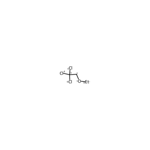 C[CH]OCC(Cl)(Cl)Cl